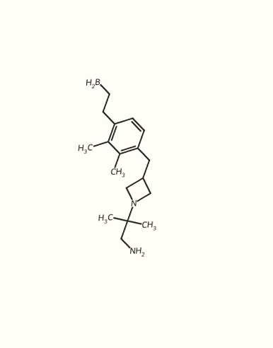 BCCc1ccc(CC2CN(C(C)(C)CN)C2)c(C)c1C